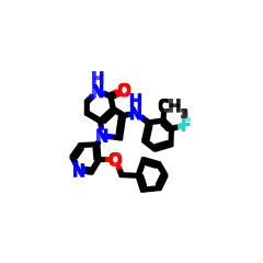 Cc1c(F)cccc1Nc1cn(-c2ccncc2OCc2ccccc2)c2c1C(=O)NCC2